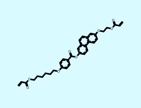 C=CC(=O)OCCCCCCOc1ccc(C(=O)Oc2ccc3c(ccc4cc(OCCOC(=O)C=C)ccc43)c2)cc1